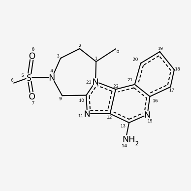 CC1CCN(S(C)(=O)=O)Cc2nc3c(N)nc4ccccc4c3n21